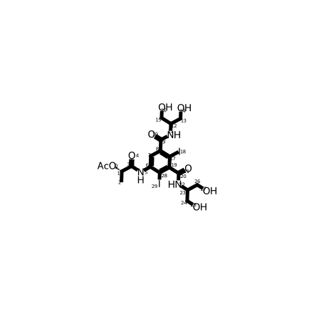 CC(=O)O[C@@H](C)C(=O)Nc1cc(C(=O)NC(CO)CO)c(I)c(C(=O)NC(CO)CO)c1I